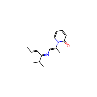 CC=C/C(=N\C=C(/C)n1ccccc1=O)C(C)C